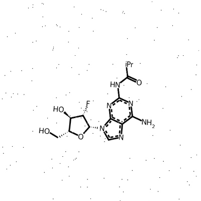 CC(C)C(=O)Nc1nc(N)c2ncn([C@@H]3O[C@H](CO)[C@@H](O)[C@@H]3F)c2n1